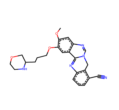 COc1cc2c(cc1OCCCC1COCCN1)C1=Nc3cccc(C#N)c3CN1C=N2